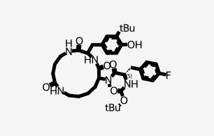 CN(C(=O)[C@H](Cc1ccc(F)cc1)NC(=O)OC(C)(C)C)C1CCCCNC(=O)CCCNC(=O)C(Cc2ccc(O)c(C(C)(C)C)c2)NC1=O